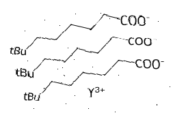 CC(C)(C)CCCCCC(=O)[O-].CC(C)(C)CCCCCC(=O)[O-].CC(C)(C)CCCCCC(=O)[O-].[Y+3]